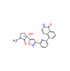 CN1CC[C@@](O)(c2cc(-c3cccc(-c4cccc5c(=O)[nH]ccc45)n3)no2)C1=O